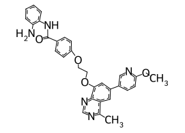 COc1ccc(-c2cc(OCCOc3ccc(C(=O)Nc4ccccc4N)cc3)c3ncnc(C)c3c2)cn1